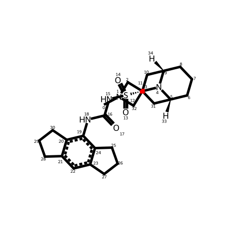 CN1CC(N2[C@@H]3CCC[C@H]2C[C@@H](S(=O)(=O)NC(=O)Nc2c4c(cc5c2CCC5)CCC4)C3)C1